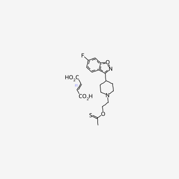 CC(=S)OCCN1CCC(c2noc3cc(F)ccc23)CC1.O=C(O)/C=C/C(=O)O